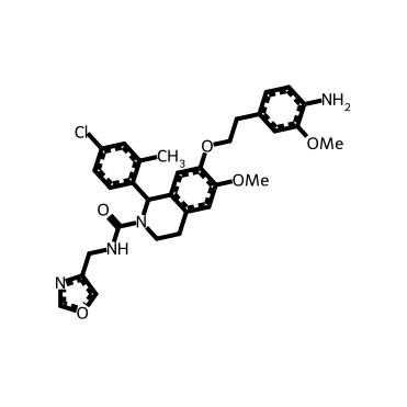 COc1cc(CCOc2cc3c(cc2OC)CCN(C(=O)NCc2cocn2)C3c2ccc(Cl)cc2C)ccc1N